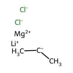 C[CH-]C.[Cl-].[Cl-].[Li+].[Mg+2]